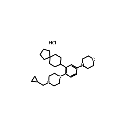 Cl.c1cc(N2CCN(CC3CC3)CC2)c(C2CCC3(CCCC3)CC2)cc1N1CCOCC1